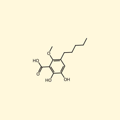 CCCCCc1cc(O)c(O)c(C(=O)O)c1OC